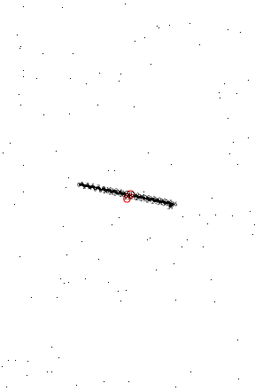 CCCCCCCCCCCCCCCCCCC(=O)OCCCCCCCCCCCCCCC(C)C